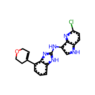 Clc1ccc2[nH]cc(Nc3nc4c(C5=CCOCC5)cccc4[nH]3)c2n1